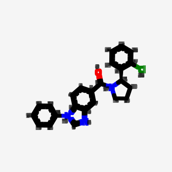 O=C(c1ccc2c(c1)ncn2-c1ccccc1)N1CCC[C@@H]1c1ccccc1Cl